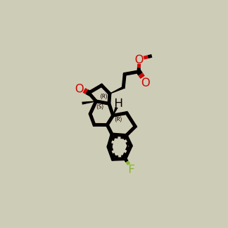 COC(=O)CC[C@@H]1CC(=O)[C@@]2(C)CCC3c4ccc(F)cc4CC[C@H]3C12